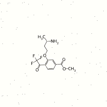 COC(=O)c1ccc(C(=O)C(F)(F)F)c(OCCC(C)N)c1